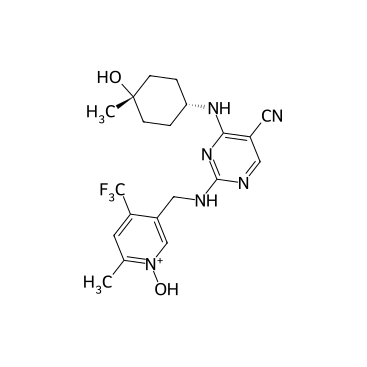 Cc1cc(C(F)(F)F)c(CNc2ncc(C#N)c(N[C@H]3CC[C@@](C)(O)CC3)n2)c[n+]1O